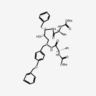 COC(=O)N[C@H](C(=O)N[C@@H](Cc1ccccc1)[C@@H](O)CN(Cc1ccc(OCc2ccccc2)cc1)NC(=O)[C@@H](NC(=O)OC)C(C)C)C(C)C